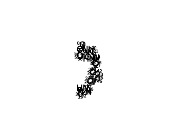 COC(=O)NC(C(=O)N1CCCC1c1nc2ccc(-c3ccc(-c4ccc(-c5cnc(C6CCCN6C)[nH]5)cc4)c4c3CCC43CCCC3)cc2[nH]1)c1ccccc1